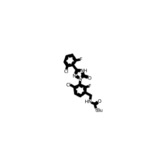 CC(C)(C)C(=O)NCc1ccc(Cl)c(-n2nc(-c3c(F)cccc3Cl)[nH]c2=O)c1F